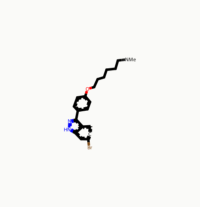 CNCCCCCCOc1ccc(-c2n[nH]c3cc(Br)ccc23)cc1